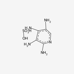 Nc1cnc(N)c(N)c1N.O=S(=O)(O)O